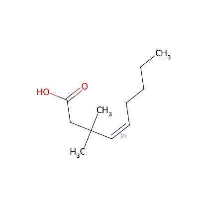 CCCC/C=C\C(C)(C)CC(=O)O